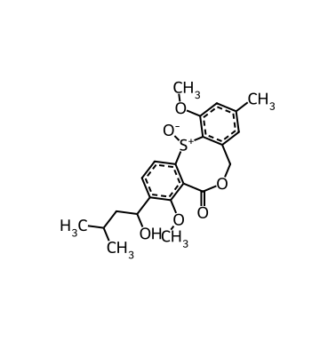 COc1cc(C)cc2c1[S+]([O-])c1ccc(C(O)CC(C)C)c(OC)c1C(=O)OC2